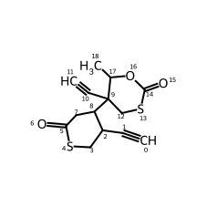 C#CC1CSC(=O)CC1C1(C#C)CSC(=O)OC1C